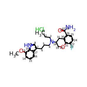 CCCN(CCCc1c[nH]c2c(OC)cccc12)C1COc2c(F)ccc(C(N)=O)c2C1.Cl